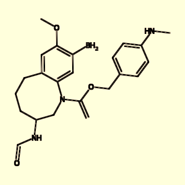 Bc1cc2c(cc1OC)CCCC(NC=O)CN2C(=C)OCc1ccc(NC)cc1